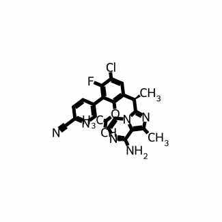 Cc1nc([C@H](C)c2cc(Cl)c(F)c(-c3ccc(C#N)nc3)c2OC(C)C)n2ccnc(N)c12